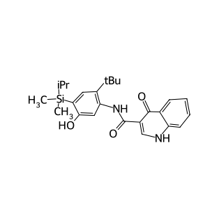 CC(C)[Si](C)(C)c1cc(C(C)(C)C)c(NC(=O)c2c[nH]c3ccccc3c2=O)cc1O